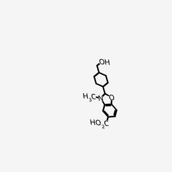 CN1c2cc(C(=O)O)ccc2OC1C1CCC(CO)CC1